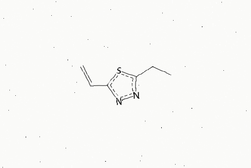 C=Cc1nnc(CC)s1